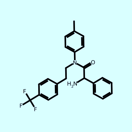 Cc1ccc(N(CCc2ccc(C(F)(F)F)cc2)C(=O)C(N)c2ccccc2)cc1